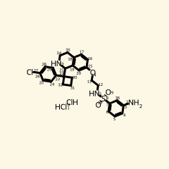 Cl.Cl.Nc1cccc(S(=O)(=O)NCCOc2ccc3c(c2)C(C2(c4ccc(Cl)cc4)CCC2)NCC3)c1